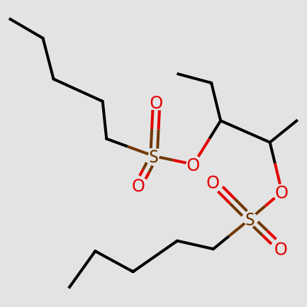 CCCCCS(=O)(=O)OC(C)C(CC)OS(=O)(=O)CCCCC